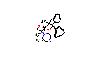 C[C@H]1CNCCN1[C@@]1(C)COC[C@H]1O[Si](c1ccccc1)(c1ccccc1)C(C)(C)C